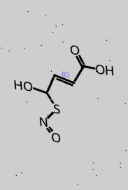 O=NSC(O)/C=C/C(=O)O